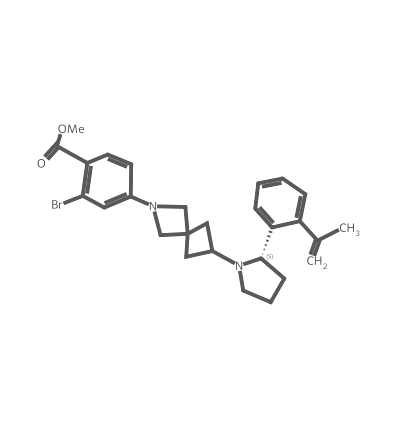 C=C(C)c1ccccc1[C@@H]1CCCN1C1CC2(C1)CN(c1ccc(C(=O)OC)c(Br)c1)C2